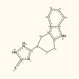 S=c1nc(C2CCc3[nH]c4ccccc4c3C2)[nH][nH]1